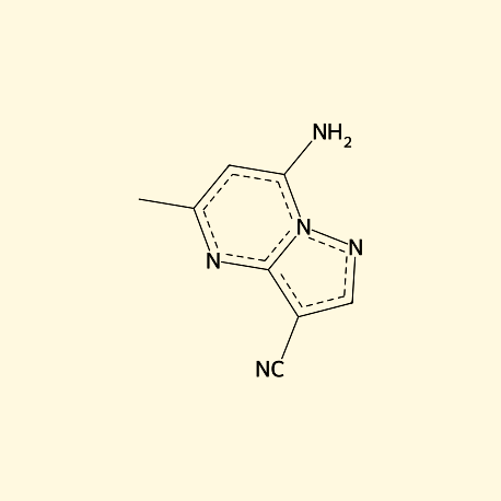 Cc1cc(N)n2ncc(C#N)c2n1